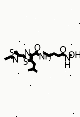 Cc1nc(-c2nc(C(=O)NCCCCC(=O)NO)c(CC(C)C)s2)cs1